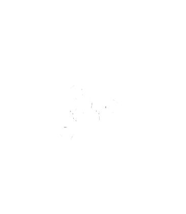 Cc1ccc(NC(=O)c2cn(-c3ccccc3)nc2-c2ccc(Cl)cc2)cc1